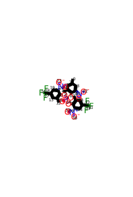 Cc1cc(C)c(OP(=O)(Oc2c(C)cc(C(F)(F)F)cc2[N+](=O)[O-])Oc2c(C)cc(C(F)(F)F)cc2[N+](=O)[O-])c([N+](=O)[O-])c1